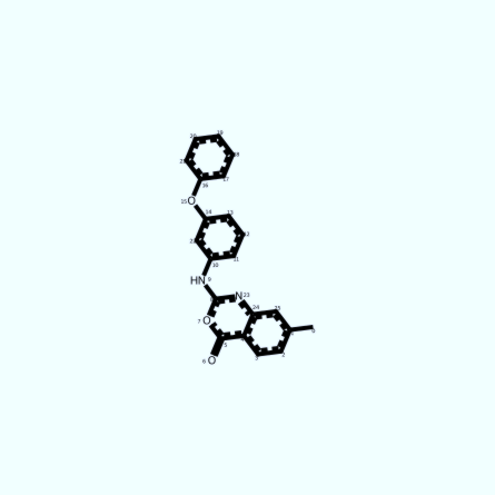 Cc1ccc2c(=O)oc(Nc3cccc(Oc4ccccc4)c3)nc2c1